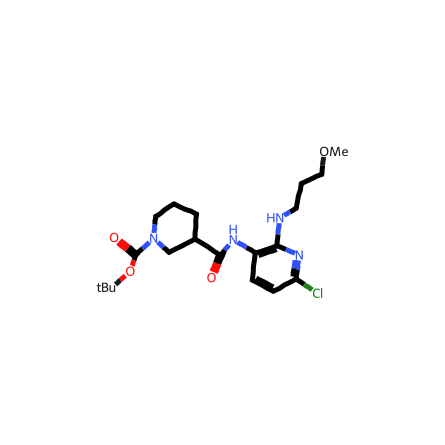 COCCCNc1nc(Cl)ccc1NC(=O)C1CCCN(C(=O)OC(C)(C)C)C1